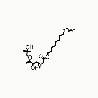 C=C(OCC(C)(C)O)C(O)CN(C)CC(=O)OCCCCCCCCCCCCCCCCCC